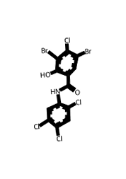 O=C(Nc1cc(Cl)c(Cl)cc1Cl)c1cc(Br)c(Cl)c(Br)c1O